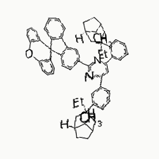 CCC1(c2cccc(-c3cc(-c4ccccc4C4(CC)CC5CC[C@H](C4)[C@@H]5C)nc(-c4ccc5c(c4)-c4ccccc4C54c5ccccc5Oc5ccccc54)n3)c2)CC2CC[C@H](C1)[C@@H]2C